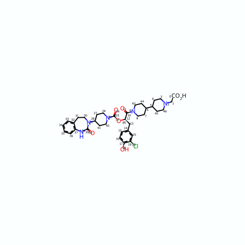 O=C(O)CN1CCC(C2CCN(C(=O)[C@@H](Cc3ccc(O)c(Cl)c3)OC(=O)N3CCC(N4CCc5ccccc5NC4=O)CC3)CC2)CC1